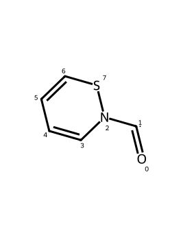 O=[C]N1C=CC=CS1